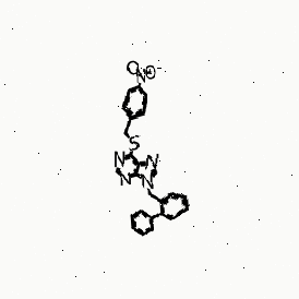 O=[N+]([O-])c1ccc(CSc2ncnc3c2ncn3Cc2ccccc2-c2ccccc2)cc1